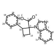 O=C(O)C1(n2cnc3cccnc32)CCC1c1ccccc1